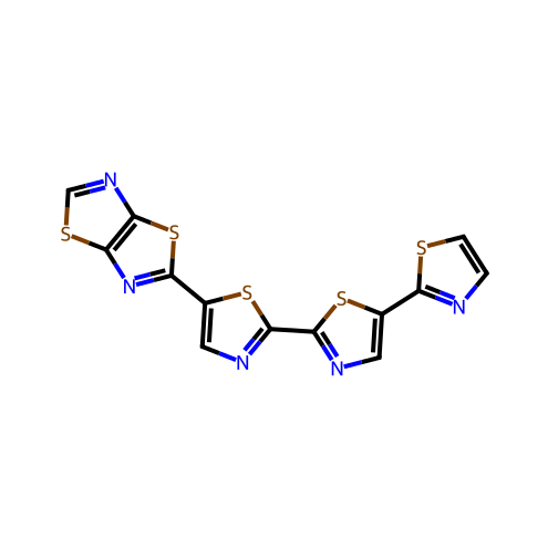 c1csc(-c2cnc(-c3ncc(-c4nc5scnc5s4)s3)s2)n1